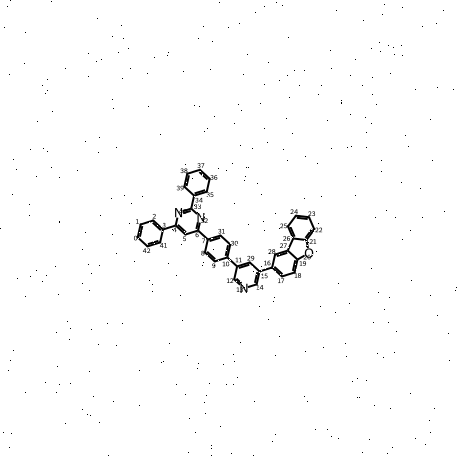 c1ccc(-c2cc(-c3ccc(-c4cncc(-c5ccc6oc7ccccc7c6c5)c4)cc3)nc(-c3ccccc3)n2)cc1